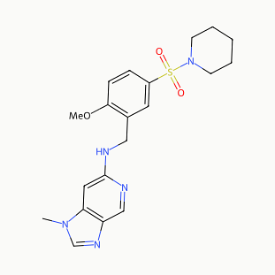 COc1ccc(S(=O)(=O)N2CCCCC2)cc1CNc1cc2c(cn1)ncn2C